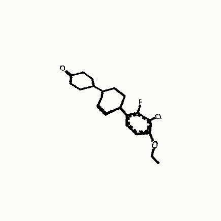 CCOc1ccc(C2CCC(C3CCC(=O)CC3)CC2)c(F)c1Cl